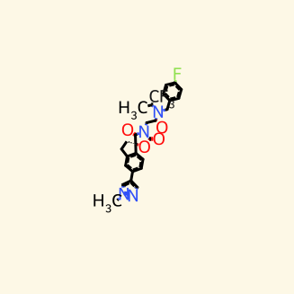 C[C@H](N(Cc1ccc(F)cc1)C(=O)CN1C(=O)O[C@]2(CCc3cc(-c4cnn(C)c4)ccc32)C1=O)C(F)(F)F